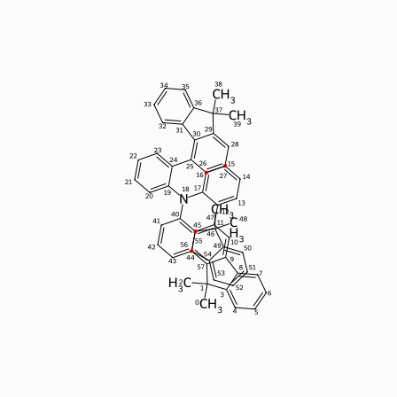 CC1(C)c2ccccc2-c2cc(-c3ccccc3N(c3ccccc3-c3cccc4c3-c3ccccc3C4(C)C)c3cccc4c3C(C)(C)c3ccccc3-4)ccc21